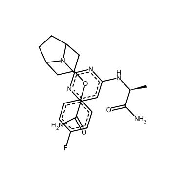 C[C@H](Nc1cc(C(N)=O)nc(N2C3CCC2CC(Oc2ccc(F)cc2)C3)n1)C(N)=O